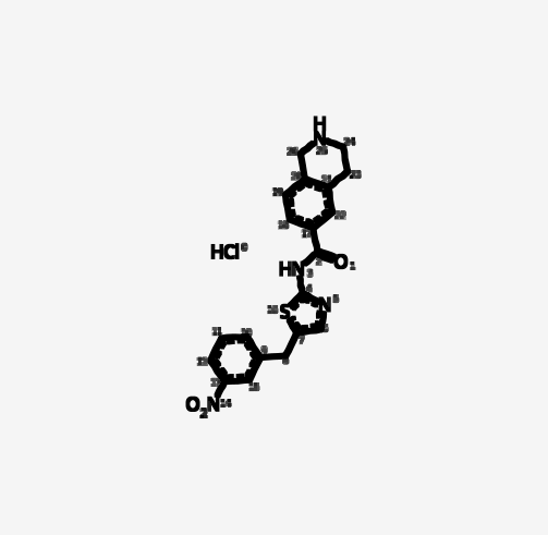 Cl.O=C(Nc1ncc(Cc2cccc([N+](=O)[O-])c2)s1)c1ccc2c(c1)CCNC2